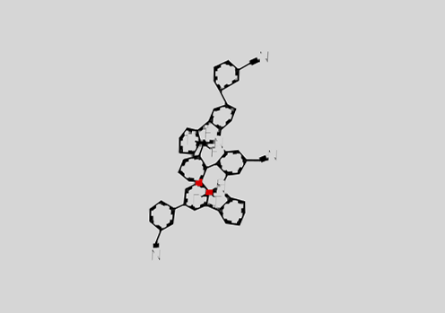 N#Cc1cccc(-c2ccc3c(c2)c2ccccc2n3-c2cc(C#N)cc(-n3c4ccccc4c4cc(-c5cccc(C#N)c5)ccc43)c2-c2c(C(F)(F)F)cccc2C(F)(F)F)c1